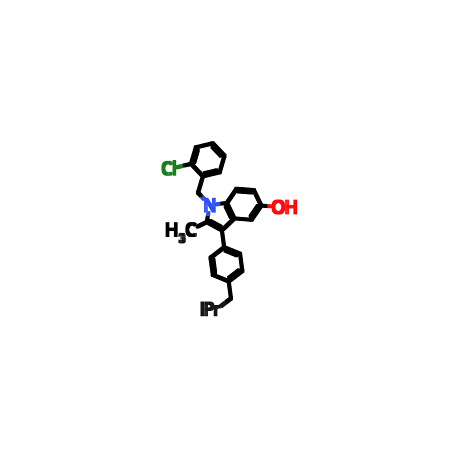 Cc1c(-c2ccc(CC(C)C)cc2)c2cc(O)ccc2n1Cc1ccccc1Cl